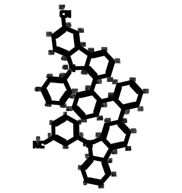 N#Cc1cccc(-n2c3ccccc3c3ccc(-c4ccccc4-c4ccccc4-c4cccc5c6cc(C#N)ccc6n(-c6ccccc6)c45)cc32)c1